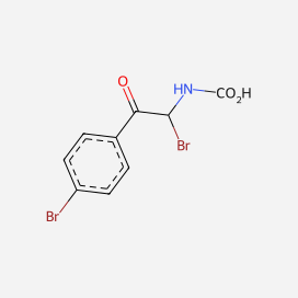 O=C(O)NC(Br)C(=O)c1ccc(Br)cc1